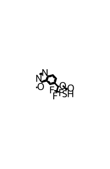 COc1ncnc2ccc(C(OC(=O)S)C(F)(F)F)cc12